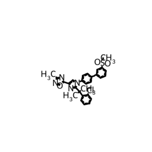 Cc1noc(-c2cn(-c3ccc(-c4cccc(S(C)(=O)=O)c4)cc3)c(C(C)(C)c3ccccc3Cl)n2)n1